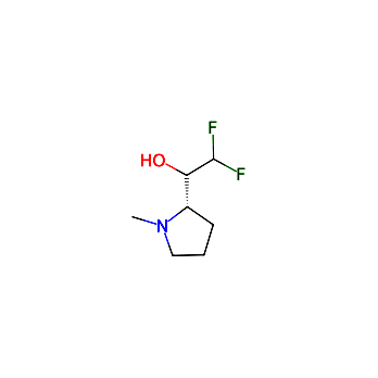 CN1CCC[C@H]1C(O)C(F)F